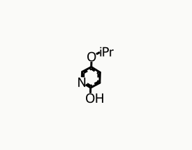 CC(C)Oc1ccc(O)nc1